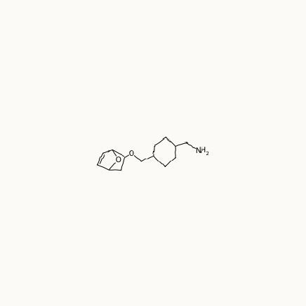 NCC1CCC(COC2CC3C=CC2O3)CC1